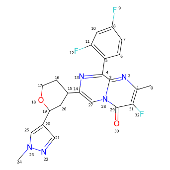 Cc1nc2c(-c3ccc(F)cc3F)nc(C3CCOC(c4cnn(C)c4)C3)cn2c(=O)c1F